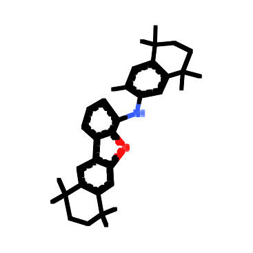 Cc1cc2c(cc1Nc1cccc3c1oc1cc4c(cc13)C(C)(C)CCC4(C)C)C(C)(C)CCC2(C)C